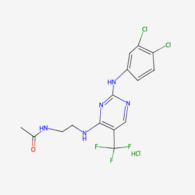 CC(=O)NCCNc1nc(Nc2ccc(Cl)c(Cl)c2)ncc1C(F)(F)F.Cl